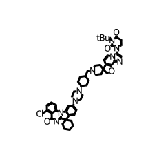 CC(C)(C)N1C(=O)CCN(c2cnc3c4c(ccn23)C2(CCN(CC3CCC(N5CCN(c6ccc7c(c6)-n6c(nc(=O)c8c(Cl)cccc86)C76CCCCC6)CC5)CC3)CC2)CO4)C1=O